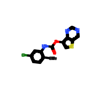 COc1ccc(Cl)cc1NC(=O)Oc1csc2cncnc12